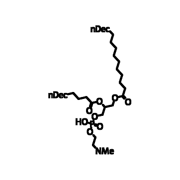 CCCCCCCCCCCCCCCCCCCC(=O)OCC(COP(=O)(O)OCCNC)OC(=O)CCCCCCCCCCCCC